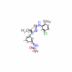 COc1ccc(Cl)cc1Nc1nc(-c2cccc(NC(=O)C(C)C)c2)c(C)s1